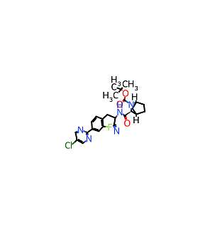 CC(C)(C)OC(=O)N1[C@@H]2CC[C@@H](C2)[C@H]1C(=O)NC(C#N)Cc1ccc(-c2ncc(Cl)cn2)cc1F